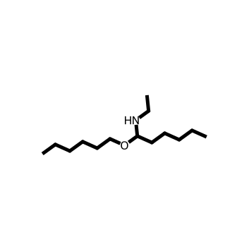 CCCCCCOC(CCCCC)NCC